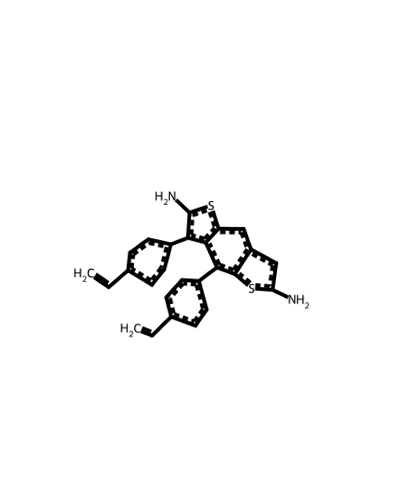 C=Cc1ccc(-c2c(N)sc3cc4cc(N)sc4c(-c4ccc(C=C)cc4)c23)cc1